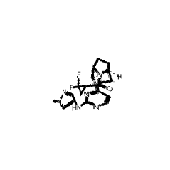 Cn1cc(Nc2nccc(N3CC4CC[C@@H](C3)N4C(=O)C3CC3(F)F)n2)cn1